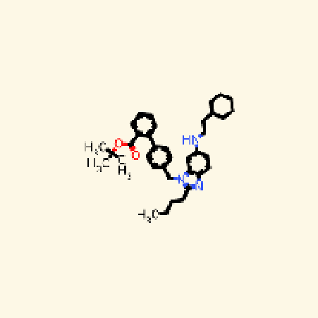 CCCCc1nc2ccc(NCCC3CCCCC3)cc2n1Cc1ccc(-c2ccccc2C(=O)OC(C)(C)C)cc1